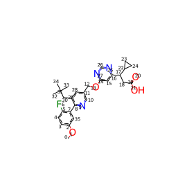 COc1ccc(F)c(-c2ncc(COc3cc(C(CC(=O)O)C4CC4)ncn3)cc2CC(C)(C)C)c1